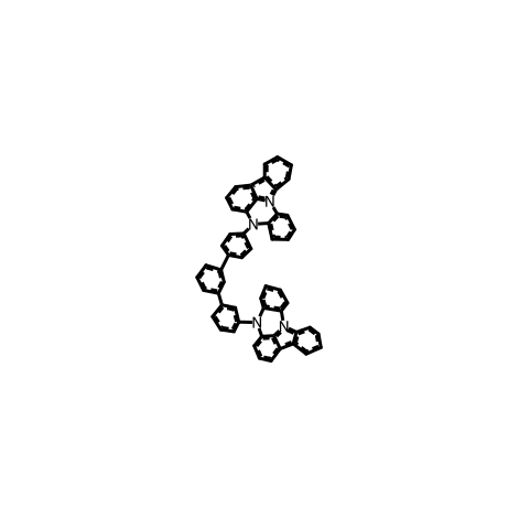 c1cc(-c2ccc(N3c4ccccc4-n4c5ccccc5c5cccc3c54)cc2)cc(-c2cccc(N3c4ccccc4-n4c5ccccc5c5cccc3c54)c2)c1